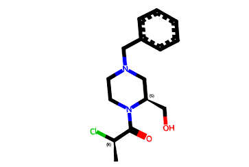 C[C@@H](Cl)C(=O)N1CCN(Cc2ccccc2)C[C@H]1CO